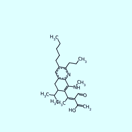 C=C(O)/C(C=O)=C(\C)C1=C(NC)c2nc(CCC)c(CCCCC)cc2CC1C(C)C